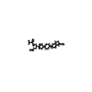 C=C(C)C(=O)OCC(CCO)C1OCC(C2CCC(c3ccc4cc(CCC)ccc4c3)CC2)CO1